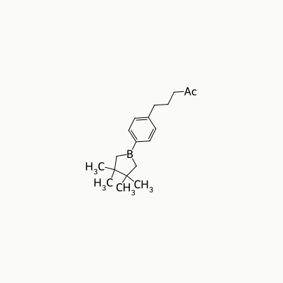 CC(=O)CCCc1ccc(B2CC(C)(C)C(C)(C)C2)cc1